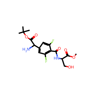 COC(=O)C(CO)NC(=O)c1c(F)cc(C(N)C(=O)OC(C)(C)C)cc1F